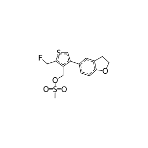 CS(=O)(=O)OCc1c(-c2ccc3c(c2)CCO3)csc1CF